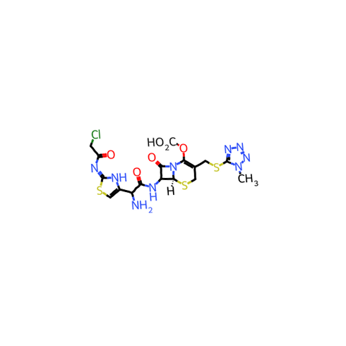 Cn1nnnc1SCC1=C(OC(=O)O)N2C(=O)C(NC(=O)C(N)c3csc(=NC(=O)CCl)[nH]3)[C@@H]2SC1